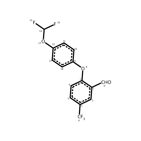 O=Cc1cc(C(F)(F)F)ccc1Oc1ccc(OC(F)F)cc1